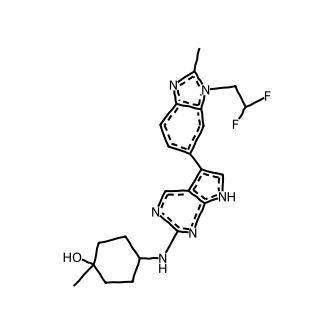 Cc1nc2ccc(-c3c[nH]c4nc(NC5CCC(C)(O)CC5)ncc34)cc2n1CC(F)F